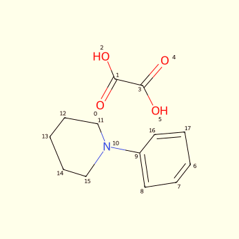 O=C(O)C(=O)O.c1ccc(N2CCCCC2)cc1